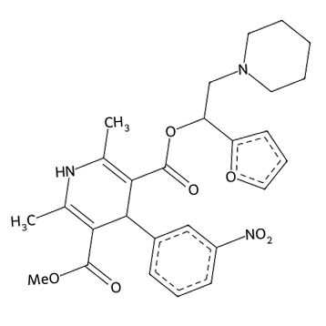 COC(=O)C1=C(C)NC(C)=C(C(=O)OC(CN2CCCCC2)c2ccco2)C1c1cccc([N+](=O)[O-])c1